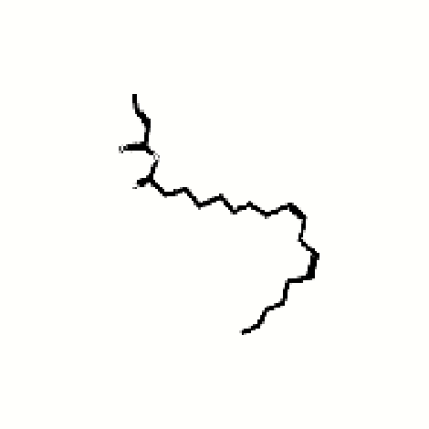 CC=CC(=O)OC(=O)CCCCCCC/C=C\C/C=C\CCCCC